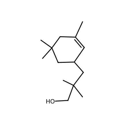 CC1=CC(CC(C)(C)CO)CC(C)(C)C1